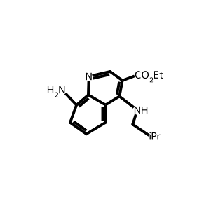 CCOC(=O)c1cnc2c(N)cccc2c1NCC(C)C